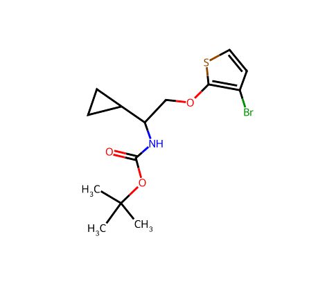 CC(C)(C)OC(=O)NC(COc1sccc1Br)C1CC1